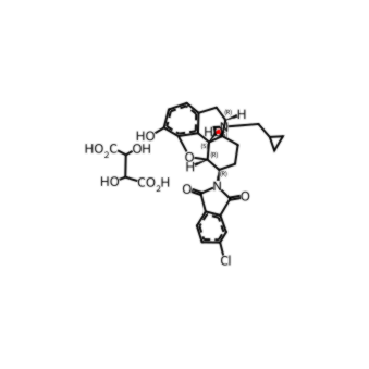 O=C(O)C(O)C(O)C(=O)O.O=C1c2ccc(Cl)cc2C(=O)N1[C@@H]1CC[C@@]2(O)[C@H]3Cc4ccc(O)c5c4[C@@]2(CCN3CC2CC2)[C@H]1O5